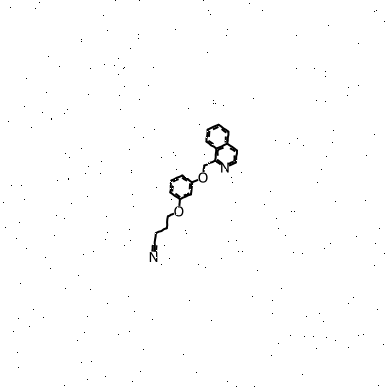 N#CCCCOc1cccc(OCc2nccc3ccccc23)c1